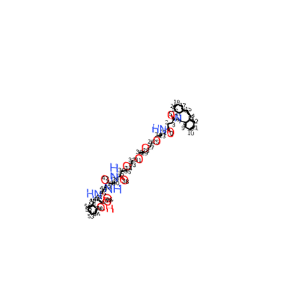 O=C(CCC(=O)N1Cc2ccccc2/C=C\c2ccccc21)NCCOCCOCCOCCOCCC(=O)NCC(=O)NCC(=O)N[C@@H](Cc1ccccc1)C(=O)O